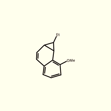 CCC1C2C=Cc3cccc(OC)c3C21